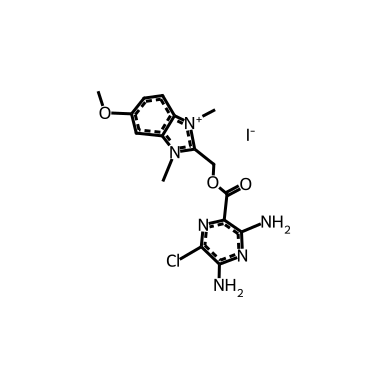 COc1ccc2c(c1)n(C)c(COC(=O)c1nc(Cl)c(N)nc1N)[n+]2C.[I-]